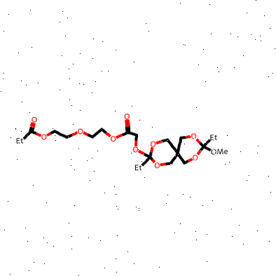 CCC(=O)OCCOCCOC(=O)COC1(CC)OCC2(COC(CC)(OC)OC2)CO1